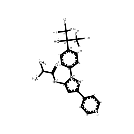 CC(C)C(=O)Nc1cc(-c2ccncc2)nn1-c1ccc(C(O)(C(F)(F)F)C(F)(F)F)cc1